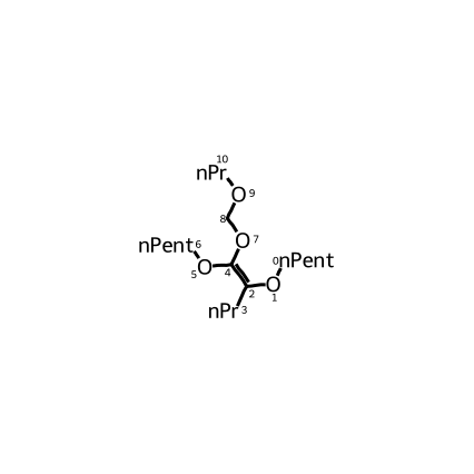 CCCCCOC(CCC)=C(OCCCCC)OCOCCC